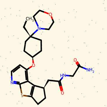 CC[C@]1(N2CCOCC2)CC[C@H](Oc2ccnc3sc4c(c23)[C@@H](CC(=O)NCC(N)=O)CC4)CC1